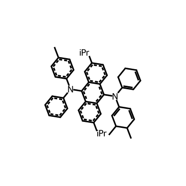 Cc1ccc(N(c2ccccc2)c2c3ccc(C(C)C)cc3c(N(C3=CC(C)C(C)C=C3)C3=CC=CCC3)c3ccc(C(C)C)cc23)cc1